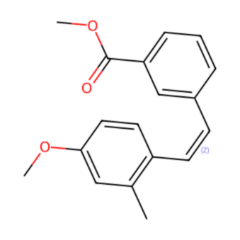 COC(=O)c1cccc(/C=C\c2ccc(OC)cc2C)c1